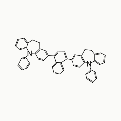 c1ccc(N2c3ccccc3CCc3cc(-c4ccc(-c5ccc6c(c5)CCc5ccccc5N6c5ccccc5)c5ccccc45)ccc32)cc1